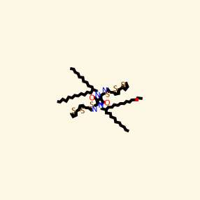 CCCCCCCCCCCCC(CCCCCCCCCC)CN1C(=O)C2=C(c3ncc(-c4ccc(-c5cccs5)s4)s3)N(CC(CCCCCCCCCC)CCCCCCCCCCCC)C(=O)C2=C1c1ncc(-c2ccc(-c3cccs3)s2)s1